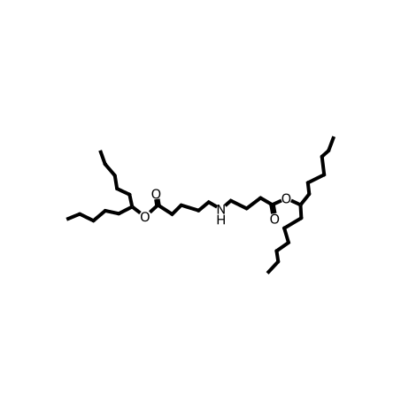 CCCCCCC(CCCCCC)OC(=O)CCCNCCCCC(=O)OC(CCCCC)CCCCC